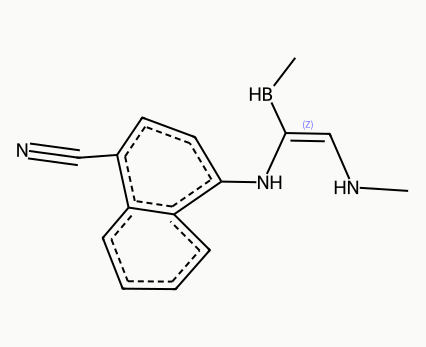 CB/C(=C/NC)Nc1ccc(C#N)c2ccccc12